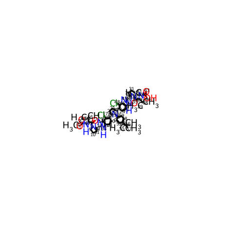 COC(=O)N[C@H](C(=O)N1CCC[C@H]1c1nc2c(Cl)c([C@@H]3CC[C@H](c4ccc5[nH]c([C@@H]6CCCN6C(=O)[C@H](C(C)C)N(C)C(=O)O)nc5c4Cl)N3c3ccc(C(C)(C)C)cc3)ccc2[nH]1)C(C)C